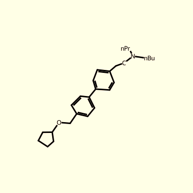 CCCCN(CCC)CCc1ccc(-c2ccc(COC3CCCC3)cc2)cc1